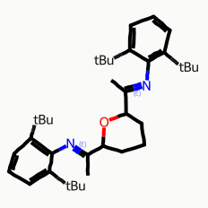 C/C(=N\c1c(C(C)(C)C)cccc1C(C)(C)C)C1CCCC(/C(C)=N/c2c(C(C)(C)C)cccc2C(C)(C)C)O1